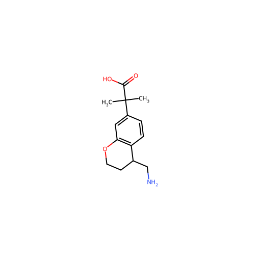 CC(C)(C(=O)O)c1ccc2c(c1)OCCC2CN